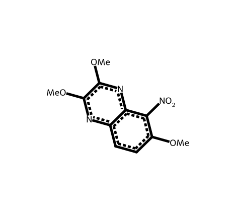 COc1ccc2nc(OC)c(OC)nc2c1[N+](=O)[O-]